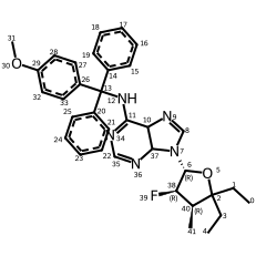 CCC1(CC)O[C@@H](N2C=NC3C(NC(c4ccccc4)(c4ccccc4)c4ccc(OC)cc4)=NC=NC32)[C@H](F)[C@@H]1C